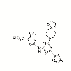 CCOC(=O)c1sc(Nc2nc(-c3cnco3)cc(N3CCC4(CC3)OCCO4)n2)nc1C